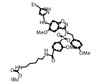 CCc1cc(Nc2cc3onc(N(Cc4ccc(OC)cc4)S(=O)(=O)c4ccc(C(=O)NCCCCCNC(=O)OC(C)(C)C)cc4OC)c3cc2OC)n[nH]1